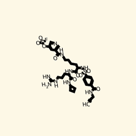 C#CCNC(=O)c1ccc(S(=O)(=O)NC(CCCCNC(=O)c2cncc(OS(=O)(=O)F)c2)C(=O)NC(CCCNC(=N)N)C(=O)NC2CCC2)cc1